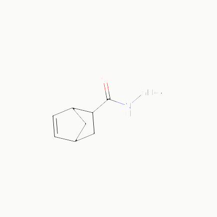 CCCCCCNC(=O)C1CC2C=CC1C2